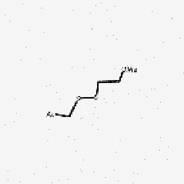 COCCSSCC(C)=O